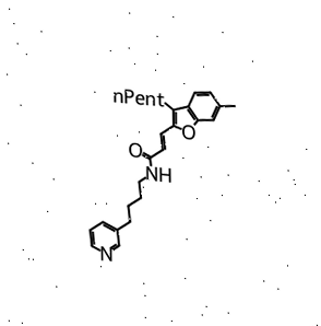 CCCCCc1c(/C=C/C(=O)NCCCCc2cccnc2)oc2cc(C)ccc12